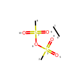 CC.CS(=O)(=O)OS(C)(=O)=O